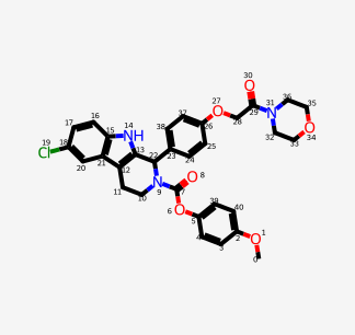 COc1ccc(OC(=O)N2CCc3c([nH]c4ccc(Cl)cc34)C2c2ccc(OCC(=O)N3CCOCC3)cc2)cc1